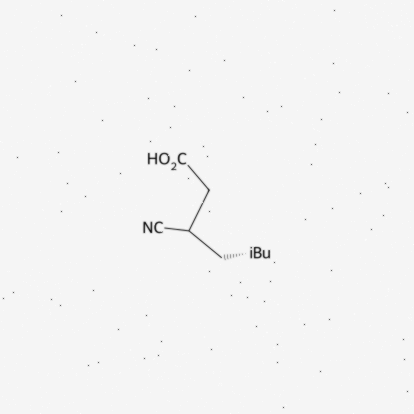 CC[C@@H](C)CC(C#N)CC(=O)O